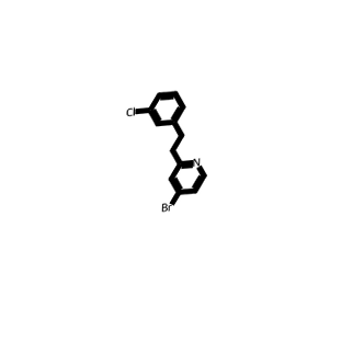 Clc1cccc(CCc2cc(Br)ccn2)c1